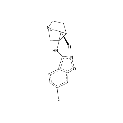 Fc1ccc2c(N[C@@H]3CN4CCC3CC4)noc2c1